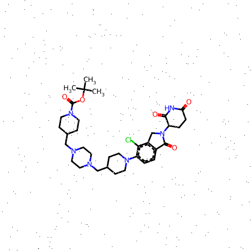 CC(C)(C)OC(=O)N1CCC(CN2CCN(CC3CCN(c4ccc5c(c4Cl)CN(C4CCC(=O)NC4=O)C5=O)CC3)CC2)CC1